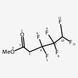 COC(=O)CC(F)(F)C(F)(F)C(F)F